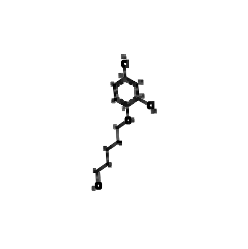 O=CCCCCOc1ccc(Cl)cc1Cl